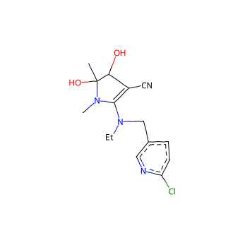 CCN(Cc1ccc(Cl)nc1)C1=C(C#N)C(O)C(C)(O)N1C